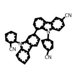 N#Cc1ccc(-n2c3ccc(C#N)cc3c3cccc(-c4ccc5c6ccccc6n(-c6ccccc6C#N)c5c4)c32)cc1